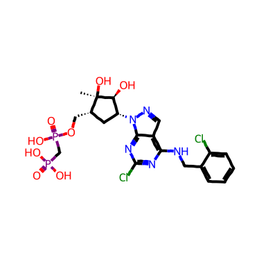 C[C@@]1(O)[C@@H](COP(=O)(O)CP(=O)(O)O)C[C@@H](n2ncc3c(NCc4ccccc4Cl)nc(Cl)nc32)[C@@H]1O